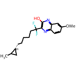 COc1ccc2nc(C(F)(F)CCCCC[C@@H]3CC3C)c(O)nc2c1